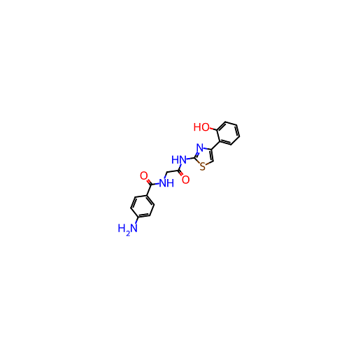 Nc1ccc(C(=O)NCC(=O)Nc2nc(-c3ccccc3O)cs2)cc1